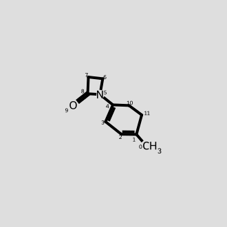 CC1=CC=C(N2CCC2=O)CC1